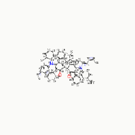 C=C(/C=C\C(=C/C)C(C)C)N(c1cc2c(c3c1C1C=CC=CC1O3)C1c3oc4ccccc4c3C(N(/C(C)=C/C=C\C)c3ccc(C(C)C)cc3)=CC1[C@@]21c2ccccc2C(C)C1CCC)C1C=CC=CC1C